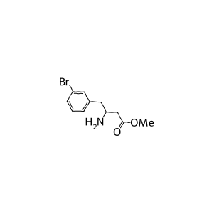 COC(=O)CC(N)Cc1cccc(Br)c1